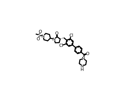 CS(=O)(=O)N1CCC(N2CC[C@@H](Cc3c(Cl)cc(-c4ccc(C(=O)N5CCNCC5)cc4)cc3Cl)C2=O)CC1